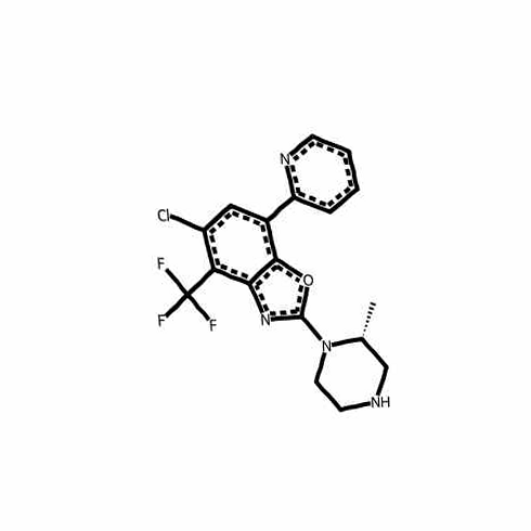 C[C@@H]1CNCCN1c1nc2c(C(F)(F)F)c(Cl)cc(-c3ccccn3)c2o1